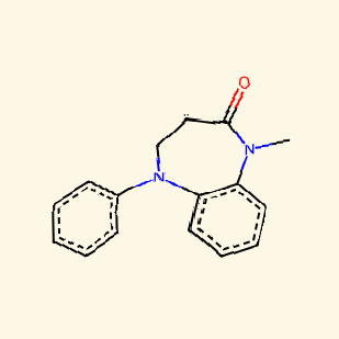 CN1C(=O)[C]CN(c2ccccc2)c2ccccc21